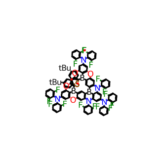 CC(C)(C)c1ccc2sc3c(c2c1)Oc1cc(N(c2c(F)cccc2F)c2c(F)cccc2F)cc2c1B3c1cc3c(cc1O2)N(c1c(F)cccc1F)c1cc(N(c2c(F)cccc2F)c2c(F)cccc2F)cc2c1B3c1cc3c(cc1N2c1c(F)cccc1F)Oc1cc(N(c2c(F)cccc2F)c2c(F)cccc2F)cc2c1B3c1sc3ccc(C(C)(C)C)cc3c1O2